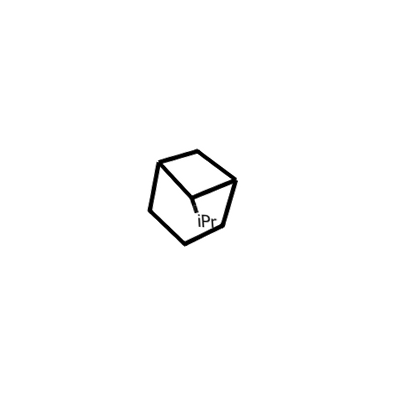 CC(C)C1C2CCCC1C2